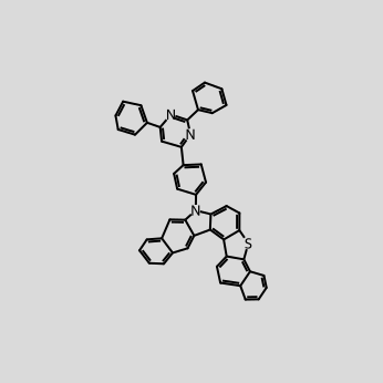 c1ccc(-c2cc(-c3ccc(-n4c5cc6ccccc6cc5c5c6c(ccc54)sc4c5ccccc5ccc46)cc3)nc(-c3ccccc3)n2)cc1